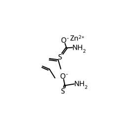 C=CC.C=CC.NC([O-])=S.NC([O-])=S.[Zn+2]